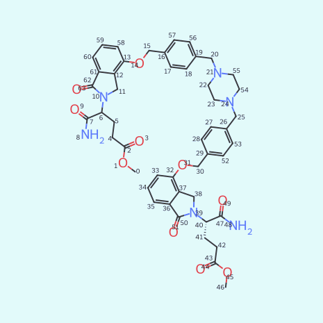 COC(=O)CCC(C(N)=O)N1Cc2c(OCc3ccc(CN4CCN(Cc5ccc(COc6cccc7c6CN([C@@H](CCC(=O)OC)C(N)=O)C7=O)cc5)CC4)cc3)cccc2C1=O